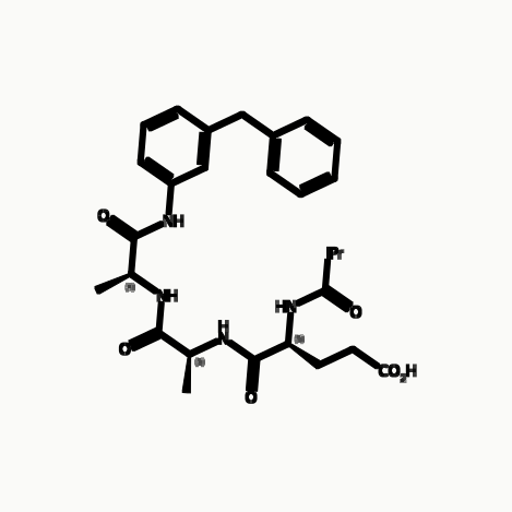 CC(C)C(=O)N[C@@H](CCC(=O)O)C(=O)N[C@@H](C)C(=O)N[C@@H](C)C(=O)Nc1cccc(Cc2ccccc2)c1